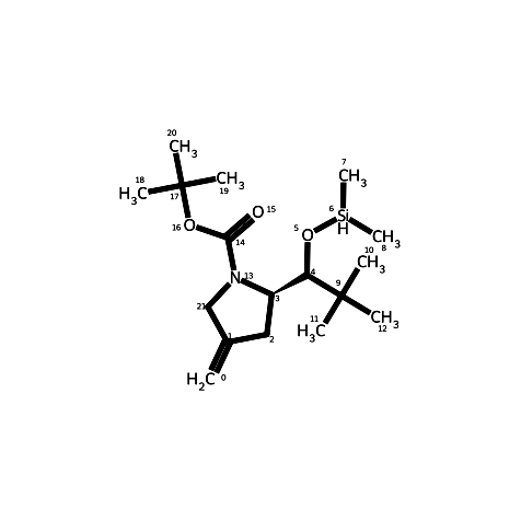 C=C1C[C@H](C(O[SiH](C)C)C(C)(C)C)N(C(=O)OC(C)(C)C)C1